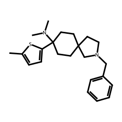 Cc1ccc(C2(N(C)C)CCC3(CCN(Cc4ccccc4)C3)CC2)s1